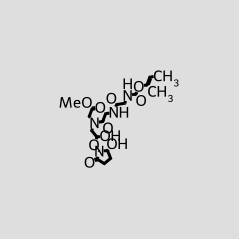 C/C=C(\C)OC(=O)NCC(=O)NCC(=O)N(CC(=O)OC)CC(O)ON1C(=O)CCC1O